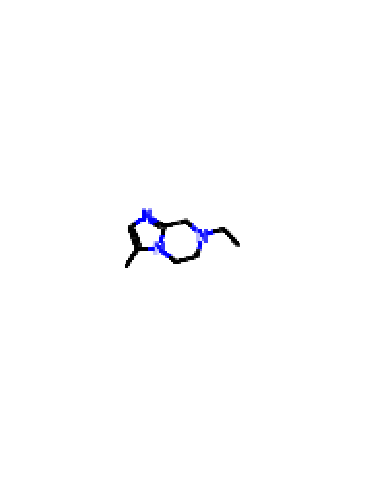 CCN1CCn2c(C)cnc2C1